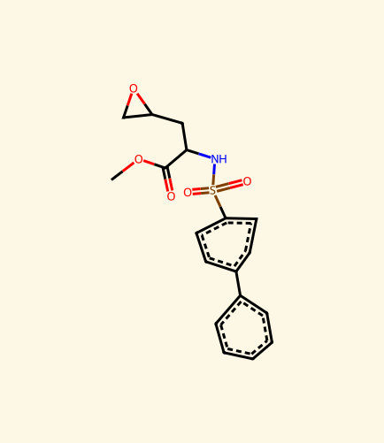 COC(=O)C(CC1CO1)NS(=O)(=O)c1ccc(-c2ccccc2)cc1